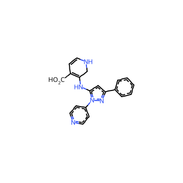 O=C(O)C1=C(Nc2cc(-c3ccccc3)nn2-c2ccncc2)CNC=C1